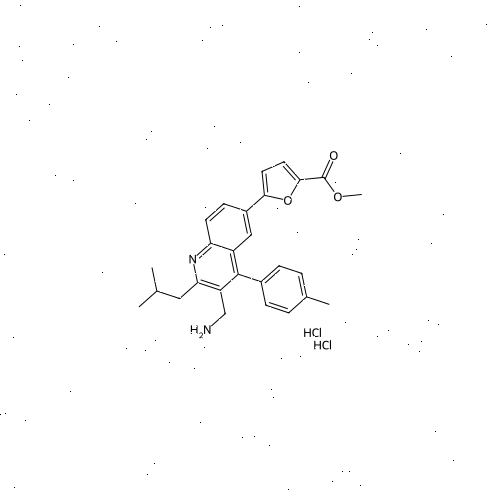 COC(=O)c1ccc(-c2ccc3nc(CC(C)C)c(CN)c(-c4ccc(C)cc4)c3c2)o1.Cl.Cl